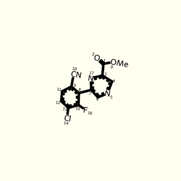 COC(=O)c1cncc(-c2c(C#N)ccc(Cl)c2F)n1